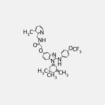 Cc1cccnc1CNC(=O)COc1ccc2c(c1)nc(Nc1ccc(OC(F)(F)F)cc1)n2[C@@H]1C[C@@H](C)CC(C)(C)C1